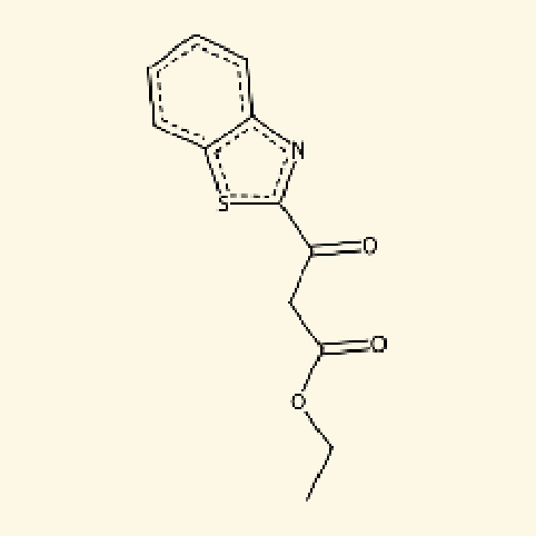 CCOC(=O)CC(=O)c1nc2ccccc2s1